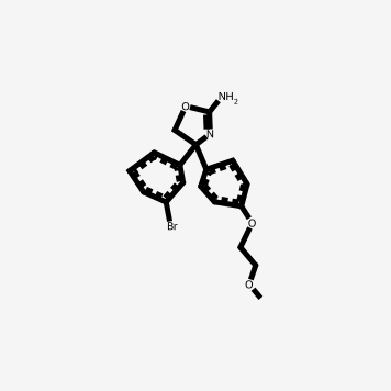 COCCOc1ccc(C2(c3cccc(Br)c3)COC(N)=N2)cc1